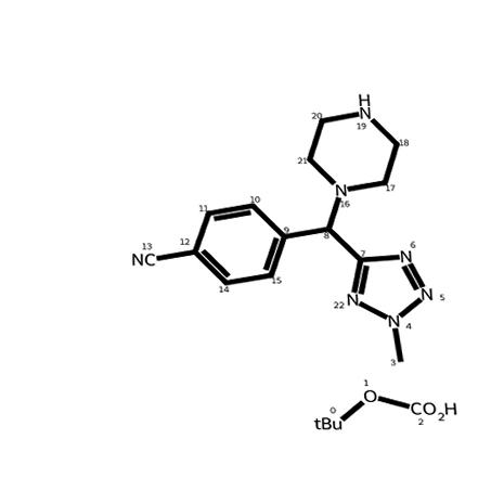 CC(C)(C)OC(=O)O.Cn1nnc(C(c2ccc(C#N)cc2)N2CCNCC2)n1